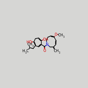 C=C1/C=C\C(OC)=C/CCN(C(=O)C2=CC(CC(C)C)=C(O)CC=C2O)C1